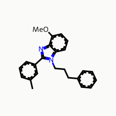 COc1cccc2c1nc(-c1cccc(C)c1)n2CCCc1ccccc1